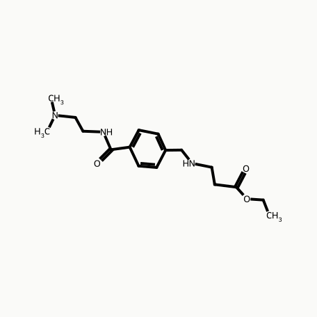 CCOC(=O)CCNCc1ccc(C(=O)NCCN(C)C)cc1